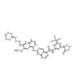 COc1cc2c(Oc3ccc4c(C(=O)Nc5cc(N6CCCC6=O)cc(C(F)(F)F)c5)cccc4c3)ccnc2cc1OCCCN1CCOCC1